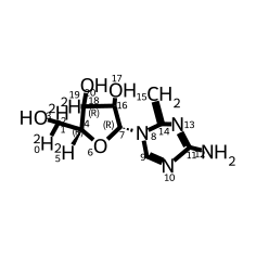 [2H]C([2H])(O)[C@@]1([2H])O[C@@H](N2C=NC(N)=NC2=C)C(O)[C@@]1([2H])O